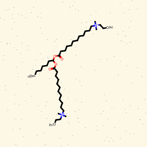 CCCCCCCCCCCCCCCC(OC(=O)CCCCCCCCCCC[N+](C)(C)CCOC(C)=O)OC(=O)CCCCCCCCCCC[N+](C)(C)CCOC(C)=O